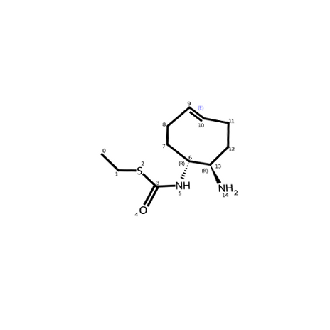 CCSC(=O)N[C@@H]1CC/C=C/CC[C@H]1N